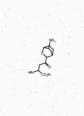 [CH2]CCCC(CC(=O)[C]1OC2CCC1CC2[N+](=O)[O-])C(=O)OCC